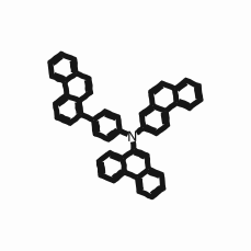 c1ccc2c(c1)ccc1cc(N(c3ccc(-c4cccc5c4ccc4ccccc45)cc3)c3cc4ccccc4c4ccccc34)ccc12